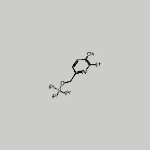 CCc1nc(CO[Si](C(C)C)(C(C)C)C(C)C)ccc1C#N